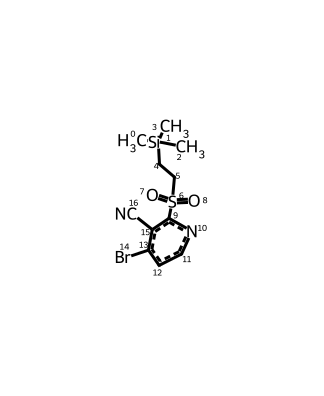 C[Si](C)(C)CCS(=O)(=O)c1nccc(Br)c1C#N